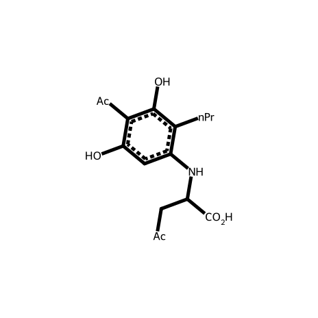 CCCc1c(NC(CC(C)=O)C(=O)O)cc(O)c(C(C)=O)c1O